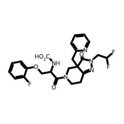 O=C(O)NC(COc1ccccc1F)C(=O)N1CCC2=NN(CC(F)F)C(=O)C2(Cc2ccccn2)C1